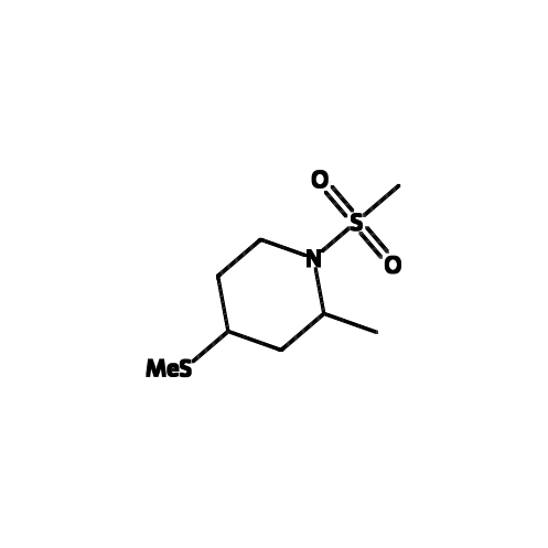 CSC1CCN(S(C)(=O)=O)C(C)C1